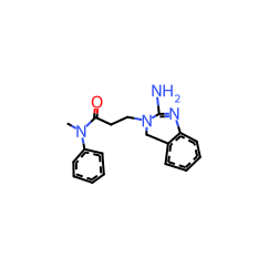 CN(C(=O)CCN1Cc2ccccc2N=C1N)c1ccccc1